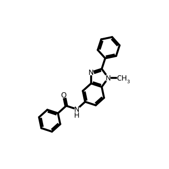 Cn1c(-c2ccccc2)nc2cc(NC(=O)c3ccccc3)ccc21